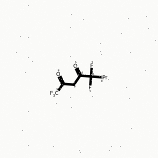 CC(C)C(F)(F)C(=O)CC(=O)C(F)(F)F